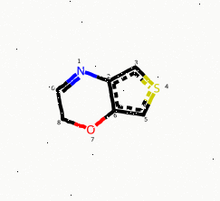 C1=Nc2cscc2OC1